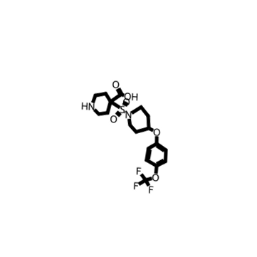 O=C(O)C1(S(=O)(=O)N2CCC(Oc3ccc(OC(F)(F)F)cc3)CC2)CCNCC1